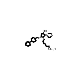 O=C(O)CCC/C=C\C[C@@H]1[C@@H](N2CCSCC2)[C@H](O)C[C@@H]1OCc1ccc(-c2ccccc2)cc1